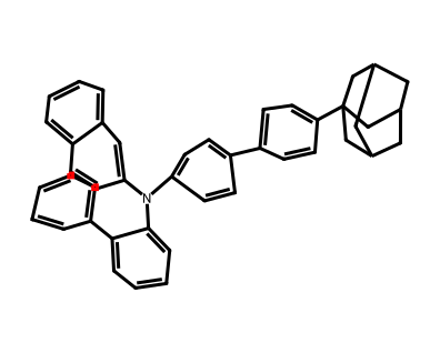 c1ccc(-c2ccccc2N(c2ccc(-c3ccc(C45CC6CC(CC(C6)C4)C5)cc3)cc2)c2ccc3ccccc3c2)cc1